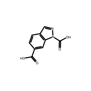 O=C(O)c1ccc2cnn(C(=O)O)c2c1